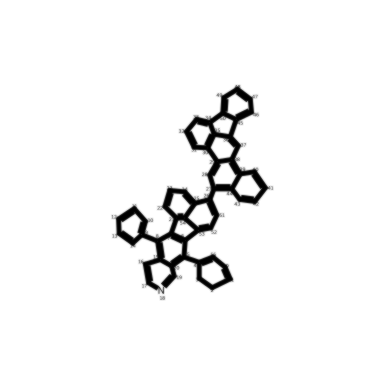 C1=CCCC(c2c3c(c(-c4ccccc4)c4ccncc24)-c2cccc4c(-c5cc6c7cccc8c7c(cc6c6ccccc56)-c5ccccc5-8)ccc-3c24)=C1